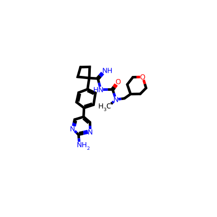 CN(CC1CCOCC1)C(=O)NC(=N)C1(c2ccc(-c3cnc(N)nc3)cc2)CCC1